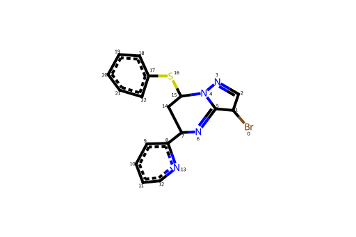 BrC1C=NN2C1=NC(c1ccccn1)CC2Sc1ccccc1